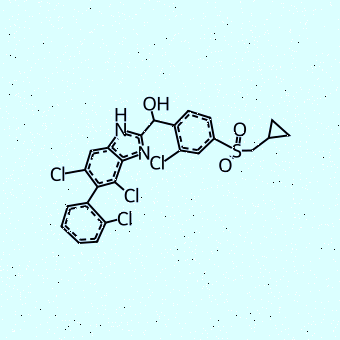 O=S(=O)(CC1CC1)c1ccc(C(O)c2nc3c(Cl)c(-c4ccccc4Cl)c(Cl)cc3[nH]2)c(Cl)c1